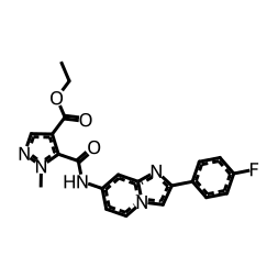 CCOC(=O)c1cnn(C)c1C(=O)Nc1ccn2cc(-c3ccc(F)cc3)nc2c1